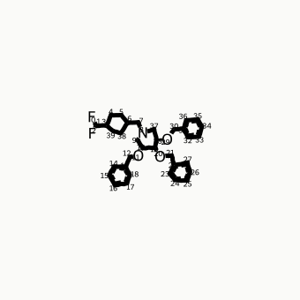 FC(F)C1CCC(CN2C[C@H](OCc3ccccc3)C(OCc3ccccc3)[C@H](OCc3ccccc3)C2)CC1